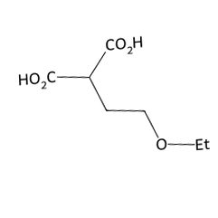 CCOCCC(C(=O)O)C(=O)O